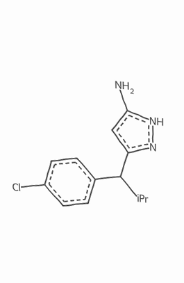 CC(C)C(c1ccc(Cl)cc1)c1cc(N)[nH]n1